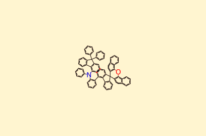 c1ccc(N(c2ccccc2-c2cccc3c2-c2ccccc2C32c3ccc4ccccc4c3Oc3c2ccc2ccccc32)c2cccc3c2-c2ccccc2C3(c2ccccc2)c2ccccc2)cc1